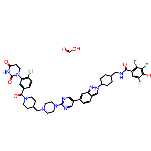 O=C1CCN(c2cc(C(=O)N3CCC(CN4CCN(c5ncc(-c6ccc7cn(C8CCC(CNC(=O)c9cc(F)c(O)c(F)c9F)CC8)nc7c6)cn5)CC4)CC3)ccc2Cl)C(=O)N1.O=CO